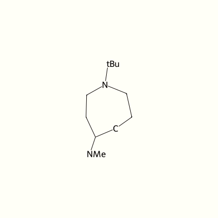 CNC1CCCN(C(C)(C)C)CC1